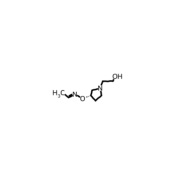 C/C=N/O[C@H]1CCN(CCO)C1